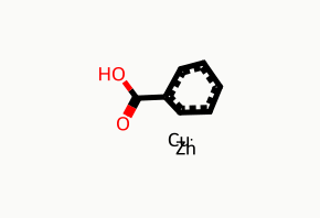 O=C(O)c1ccccc1.[Cu].[Zn]